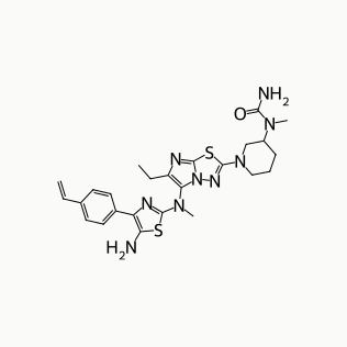 C=Cc1ccc(-c2nc(N(C)c3c(CC)nc4sc(N5CCCC(N(C)C(N)=O)C5)nn34)sc2N)cc1